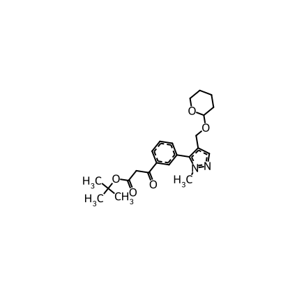 Cn1ncc(COC2CCCCO2)c1-c1cccc(C(=O)CC(=O)OC(C)(C)C)c1